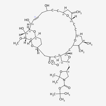 C=C1C2C[C@@H]3O[C@H](C[C@H]4CN(C(=O)OC(C)(C)C)C(C)(C)O4)[C@H](OC)[C@H]3CC(=O)C[C@H]3CC[C@@H]4O[C@H]([C@@H](O)[C@@H](OC)[C@H]4O3)[C@@H](O)/C=C/CC(O)CC[C@H]3CC(=C)[C@H](CC[C@@H](C[C@H]1C)O2)O3